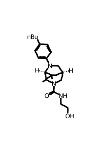 CCCCc1ccc(N2C[C@H]3CN(C(=O)NCCO)C[C@@H]2C(C)(C)C3)cc1